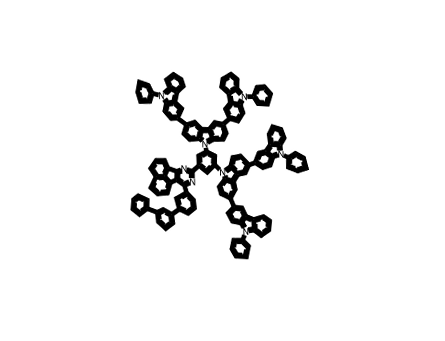 c1ccc(-c2cccc(-c3cccc(-c4nc(-c5cc(-n6c7ccc(-c8ccc9c(c8)c8ccccc8n9-c8ccccc8)cc7c7cc(-c8ccc9c(c8)c8ccccc8n9-c8ccccc8)ccc76)cc(-n6c7ccc(-c8ccc9c(c8)c8ccccc8n9-c8ccccc8)cc7c7cc(-c8ccc9c(c8)c8ccccc8n9-c8ccccc8)ccc76)c5)nc5c4-c4cccc6cccc-5c46)c3)c2)cc1